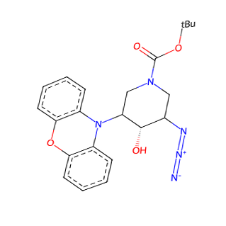 CC(C)(C)OC(=O)N1CC(N=[N+]=[N-])[C@H](O)C(N2c3ccccc3Oc3ccccc32)C1